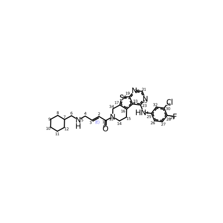 O=C(/C=C/CNCC1CCCCC1)N1CCc2c(sc3ncnc(Nc4ccc(F)c(Cl)c4)c23)C1